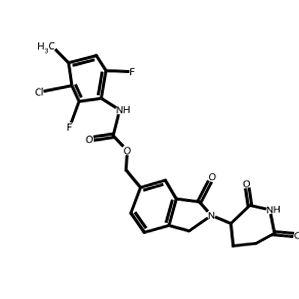 Cc1cc(F)c(NC(=O)OCc2ccc3c(c2)C(=O)N(C2CCC(=O)NC2=O)C3)c(F)c1Cl